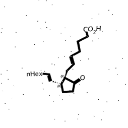 CCCCCCC=C[C@H]1CCC(=O)[C@@H]1CC=CCCCC(=O)O